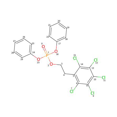 O=P(OCCc1c(Cl)c(Cl)c(Cl)c(Cl)c1Cl)(Oc1ccccc1)Oc1ccccc1